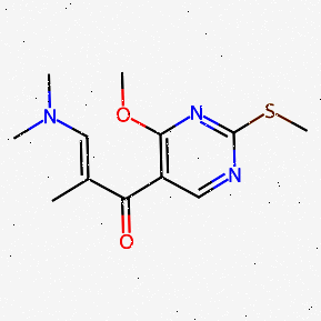 COc1nc(SC)ncc1C(=O)C(C)=CN(C)C